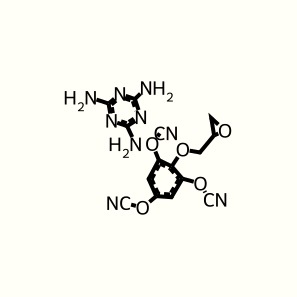 N#COc1cc(OC#N)c(OCC2CO2)c(OC#N)c1.Nc1nc(N)nc(N)n1